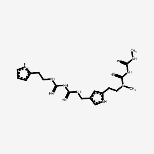 CNC(=N)NC(=N)N(C)CCc1cc(CNC(=N)NC(=N)NCCc2ccc[nH]2)c[nH]1